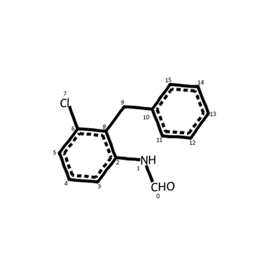 O=CNc1cccc(Cl)c1Cc1ccccc1